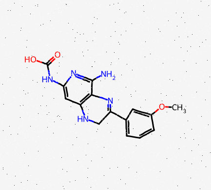 COc1cccc(C2=Nc3c(cc(NC(=O)O)nc3N)NC2)c1